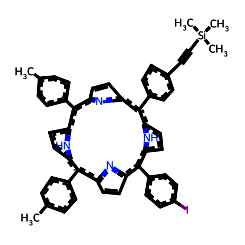 Cc1ccc(-c2c3nc(c(-c4ccc(I)cc4)c4ccc([nH]4)c(-c4ccc(C#C[Si](C)(C)C)cc4)c4nc(c(-c5ccc(C)cc5)c5ccc2[nH]5)C=C4)C=C3)cc1